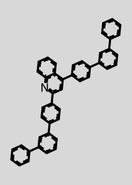 c1ccc(-c2cccc(-c3ccc(-c4cc(-c5ccc(-c6cccc(-c7ccccc7)c6)cc5)c5ccccc5n4)cc3)c2)cc1